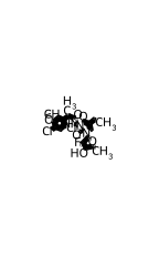 CCc1cn([C@@H]2O[C@H](C)[C@@H](O)[C@@H]2F)c(=O)n(NC(=O)C(C)c2cc(OC)c(Cl)cc2Cl)c1=O